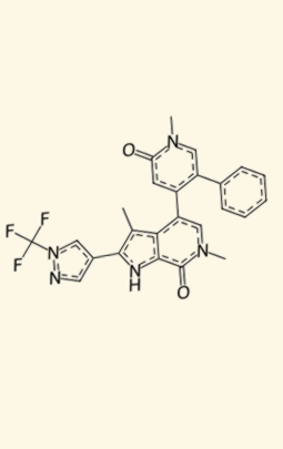 Cc1c(-c2cnn(C(F)(F)F)c2)[nH]c2c(=O)n(C)cc(-c3cc(=O)n(C)cc3-c3ccccc3)c12